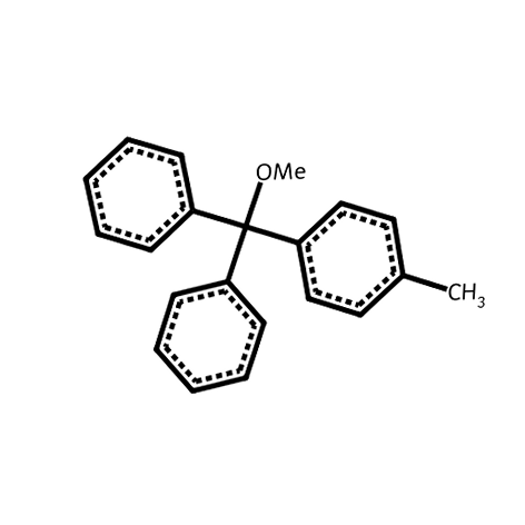 COC(c1ccccc1)(c1ccccc1)c1ccc(C)cc1